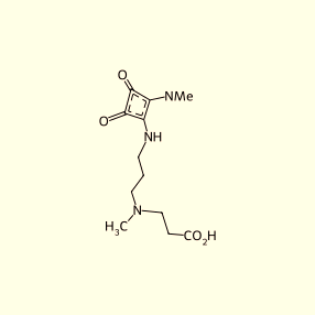 CNc1c(NCCCN(C)CCC(=O)O)c(=O)c1=O